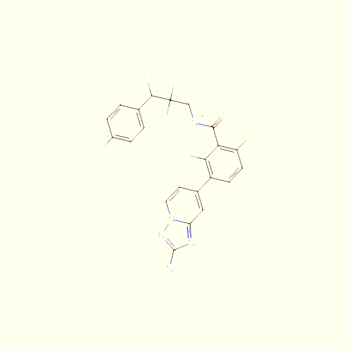 Nc1nc2cc(-c3ccc(Cl)c(C(=O)NCC(F)(F)C(F)c4ccc(F)cc4)c3F)ccn2n1